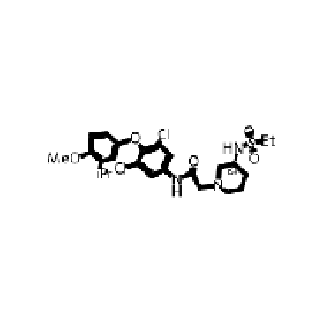 CCS(=O)(=O)N[C@H]1CCCN(CC(=O)Nc2cc(Cl)c(Oc3ccc(OC)c(C(C)C)c3)c(Cl)c2)C1